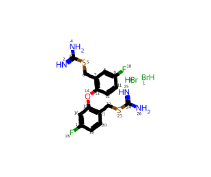 Br.Br.N=C(N)SCc1cc(F)ccc1Oc1cc(F)ccc1CSC(=N)N